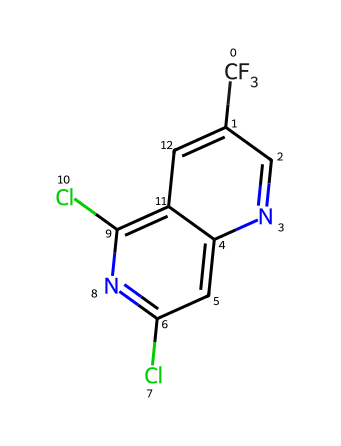 FC(F)(F)c1cnc2cc(Cl)nc(Cl)c2c1